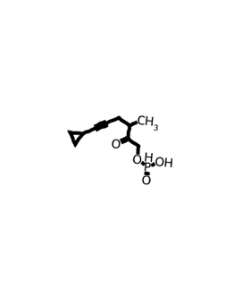 CC(CC#CC1CC1)C(=O)CO[PH](=O)O